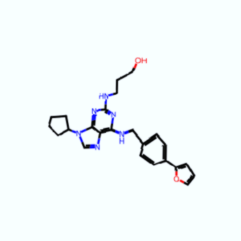 OCCCNc1nc(NCc2ccc(-c3ccco3)cc2)c2ncn(C3CCCC3)c2n1